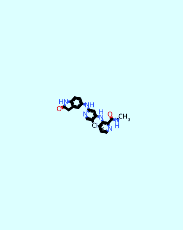 CNC(=O)c1ncccc1Nc1cc(Nc2ccc3c(c2)CC(=O)N3)ncc1C